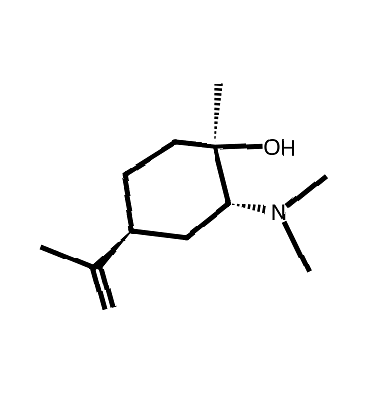 C=C(C)[C@H]1CC[C@@](C)(O)[C@H](N(C)C)C1